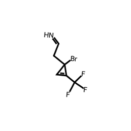 N=CCC1(Br)C=C1C(F)(F)F